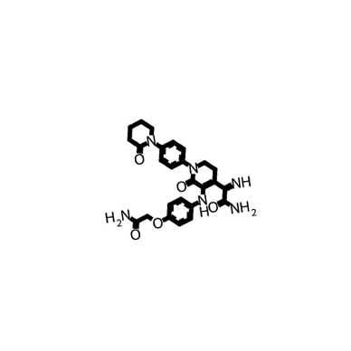 N=C(C(N)=O)C1=C(Nc2ccc(OCC(N)=O)cc2)C(=O)N(c2ccc(N3CCCCC3=O)cc2)CC1